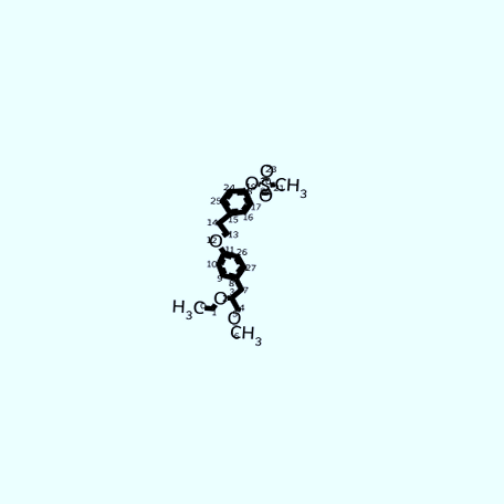 CCOC(COC)Cc1ccc(OCCc2ccc(OS(C)(=O)=O)cc2)cc1